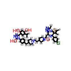 Cc1sc2c(c1C)C(c1ccc(Cl)cc1)=N[C@@H](CC(=O)N1CCC(CCN3CCC(Cc4ccc(-n5c(O)nnc5-c5cc(C(C)C)c(O)cc5O)cc4)CC3)CC1)c1nnc(C)n1-2